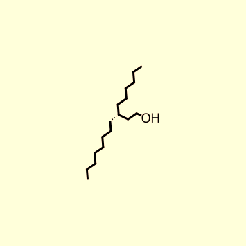 CCCCCCCC[C@@H](CCO)CCCCCC